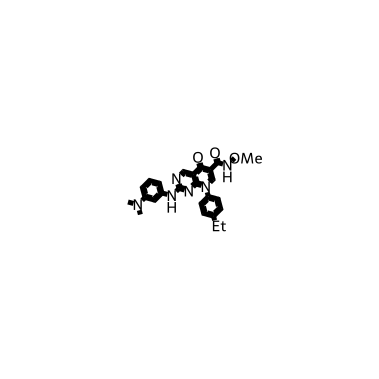 CCc1ccc(-n2cc(C(=O)NOC)c(=O)c3cnc(Nc4cccc(N(C)C)c4)nc32)cc1